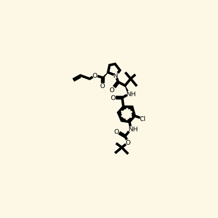 C=CCOC(=O)[C@H]1CCCN1C(=O)[C@H](NC(=O)c1ccc(NC(=O)OC(C)(C)C)c(Cl)c1)C(C)(C)C